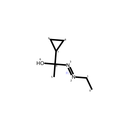 CC/N=N/C(C)(O)C1CC1